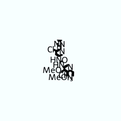 COc1nccc2ncc(NC(=O)Nc3cnc(-n4nccn4)c(Cl)c3)c(C(C)OC)c12